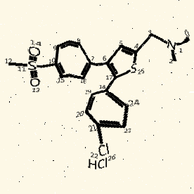 CN(C)Cc1cc(-c2ccc(S(C)(=O)=O)cc2)c(-c2ccc(Cl)cc2)s1.Cl